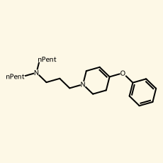 CCCCCN(CCCCC)CCCN1CC=C(Oc2ccccc2)CC1